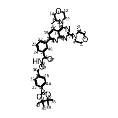 C[C@@H]1COCCN1c1nc(N2CCOC[C@@H]2C)c2ccc(-c3cccc(C(=O)NOCc4ccc(B5OC(C)(C)C(C)(C)O5)cc4)c3)nc2n1